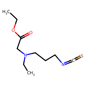 CCOC(=O)CN(CC)CCCN=C=S